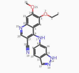 CCOc1cc2c(Nc3ccc4cn[nH]c4c3)c(C#N)cnc2cc1OC